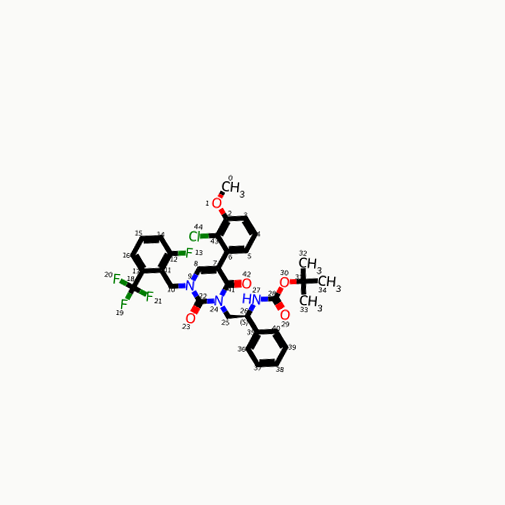 COc1cccc(-c2cn(Cc3c(F)cccc3C(F)(F)F)c(=O)n(C[C@@H](NC(=O)OC(C)(C)C)c3ccccc3)c2=O)c1Cl